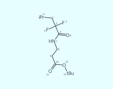 CC(C)CC(F)(F)C(=O)NCCC(=O)OC(C)(C)C